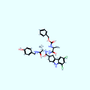 CCC(C)C(NC(=O)OCc1ccccc1)C(=O)N[C@@]1(C(=O)N[C@H](C(=O)NCc2ccc(O)cc2)[C@@H](C)CC)CCc2[nH]c3c(Cl)cc(Cl)cc3c2C1